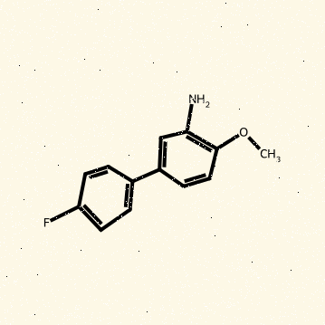 COc1ccc(-c2ccc(F)cc2)cc1N